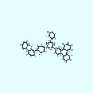 c1ccc(-c2nc(-c3ccc(-c4cccc5c4Cc4ccccc4-5)cc3)nc(-c3ccc4c5ccccc5c5ccccc5c4c3)n2)cc1